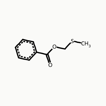 CSCOC(=O)c1ccccc1